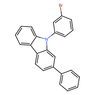 Brc1cccc(-n2c3ccccc3c3ccc(-c4ccccc4)cc32)c1